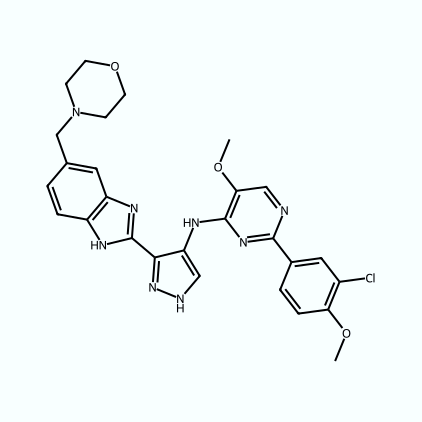 COc1ccc(-c2ncc(OC)c(Nc3c[nH]nc3-c3nc4cc(CN5CCOCC5)ccc4[nH]3)n2)cc1Cl